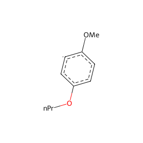 CCCOc1c[c]c(OC)cc1